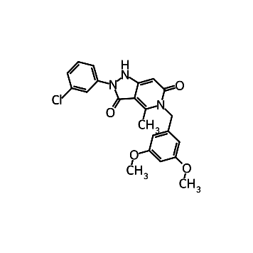 COc1cc(Cn2c(C)c3c(=O)n(-c4cccc(Cl)c4)[nH]c3cc2=O)cc(OC)c1